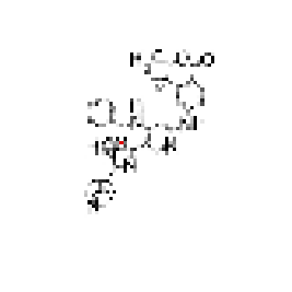 CC1OC(=O)c2ccc(Nc3cc(N[C@H](CO)c4ccccc4)c(-c4nc(C56CCN(CC5)CC6)no4)cn3)cc2C12CC2